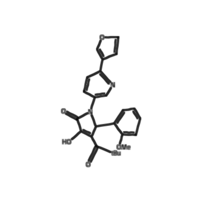 COc1ccccc1C1C(C(=O)C(C)(C)C)=C(O)C(=O)N1c1ccc(-c2ccoc2)nc1